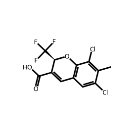 Cc1c(Cl)cc2c(c1Cl)O[C@H](C(F)(F)F)C(C(=O)O)=C2